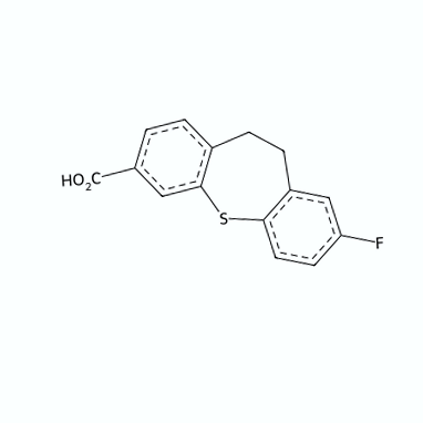 O=C(O)c1ccc2c(c1)Sc1ccc(F)cc1CC2